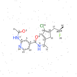 CC(=O)Nc1cc(C(=O)NC(C)C2=CC(Cl)=C(C[C@@H](C)F)C2)ccn1